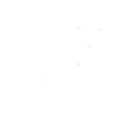 Cc1nc(N)nc2c1C=C(c1nccs1)CN2[C@H]1CCCOC1